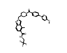 COc1ccc(-c2ccc(C(=O)N3CCC(Cn4cc5c(C)c(C(=O)NCC(F)(F)F)ccc5n4)CC3)cc2)nc1